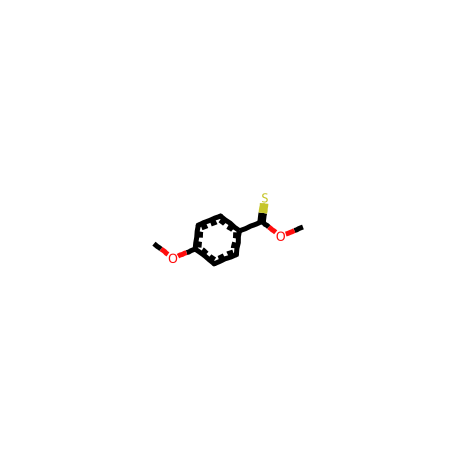 COC(=S)c1ccc(OC)cc1